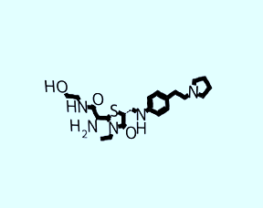 CCN1C(=O)[C@@H](CNc2ccc(CCN3CCCC3)cc2)SC1[C@H](N)C(=O)NCCO